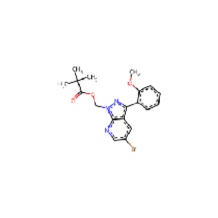 COc1ccccc1-c1nn(COC(=O)C(C)(C)C)c2ncc(Br)cc12